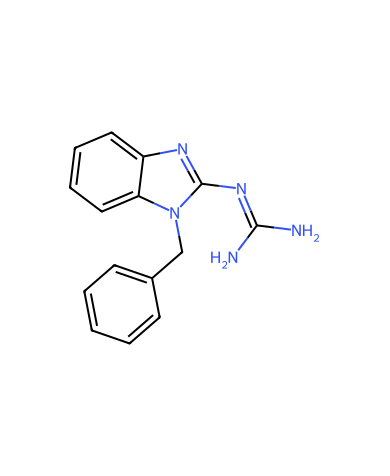 NC(N)=Nc1nc2ccccc2n1Cc1ccccc1